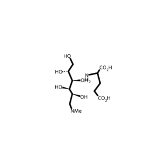 CNC[C@H](O)[C@@H](O)[C@H](O)[C@H](O)CO.NC(CCC(=O)O)C(=O)O